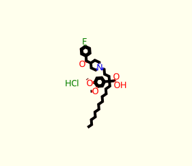 CCCCCCCCCCCCC(CCCN1CCC(C(=O)c2ccc(F)cc2)CC1)(C(=O)O)c1ccc(OC)c(OC)c1.Cl